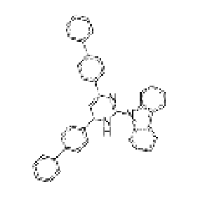 C1=C(c2ccc(-c3ccccc3)cc2)N=C(n2c3ccccc3c3ccccc32)NC1c1ccc(-c2ccccc2)cc1